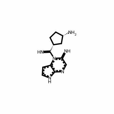 N=C([C@@H]1CC[C@H](N)C1)n1c(=N)cnc2[nH]ccc21